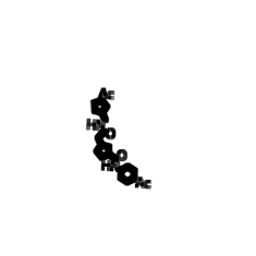 CC(=O)C1CCC(NC(=O)C2CCC(CC(=O)NCC3CCC(C(C)=O)C3)C2)CC1